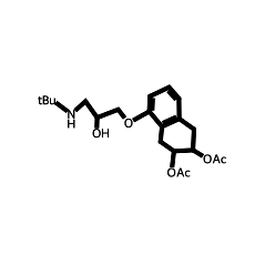 CC(=O)OC1Cc2cccc(OCC(O)CNC(C)(C)C)c2CC1OC(C)=O